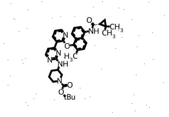 Cc1ccc2c(NC(=O)[C@@H]3CC3(C)C)cccc2c1Oc1ncccc1-c1ccnc(NC2CCCN(C(=O)OC(C)(C)C)C2)n1